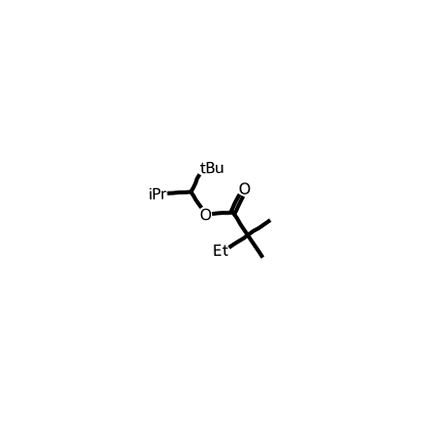 CCC(C)(C)C(=O)OC(C(C)C)C(C)(C)C